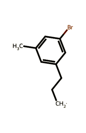 [CH2]CCc1cc(C)cc(Br)c1